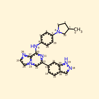 CC1CCN(c2ccc(Nc3nc(-c4ccc5cn[nH]c5c4)cn4ccnc34)cc2)C1